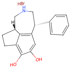 Br.Oc1cc2c3c(c1O)CC[C@@H]3CNC[C@@H]2c1ccccc1